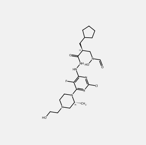 C[C@@H]1CN(CCO)CCN1c1nc(Cl)nc(NNC(=O)[C@@H](CC2CCCC2)CN(O)C=O)c1F